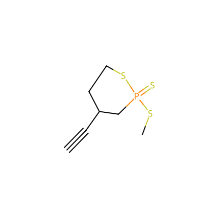 C#CC1CCSP(=S)(SC)C1